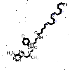 CC/C=C\C/C=C\C/C=C\C/C=C\C/C=C\CCCC(=O)NCCNP(=O)(CO[C@H](C)Cn1cnc2c(N)ncnc21)Oc1ccc(F)cc1